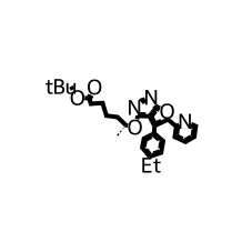 CCc1ccc(-c2c(-c3ccccn3)oc3ncnc(O[C@H](C)CCCCC(=O)OC(C)(C)C)c23)cc1